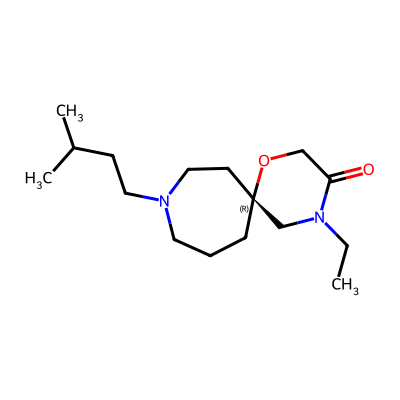 CCN1C[C@]2(CCCN(CCC(C)C)CC2)OCC1=O